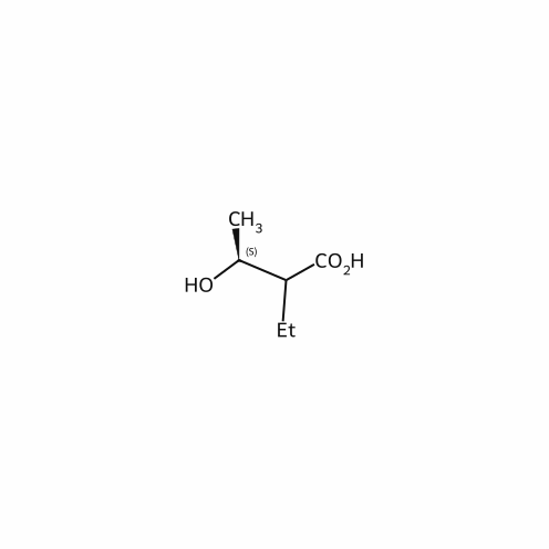 CCC(C(=O)O)[C@H](C)O